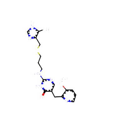 COc1cccnc1Cc1cnc(NCCCSCc2nc[nH]c2C)[nH]c1=O